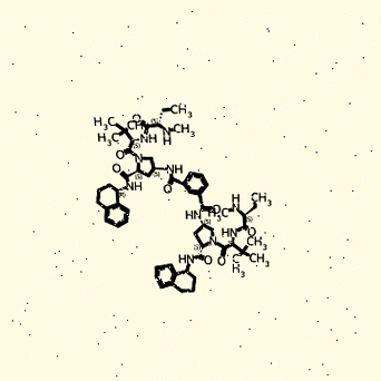 CC[C@H](NC)C(=O)N[C@H](C(=O)N1C[C@@H](NC(=O)c2cccc(C(=O)N[C@H]3C[C@@H](C(=O)N[C@@H]4CCCc5ccccc54)N(C(=O)[C@@H](NC(=O)[C@H](CC)NC)C(C)(C)C)C3)c2)C[C@H]1C(=O)NC1CCCc2ccccc21)C(C)(C)C